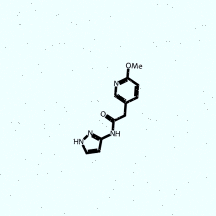 COc1ccc(CC(=O)Nc2cc[nH]n2)cn1